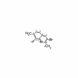 Cc1ccc2cc(Br)c(C)nc2c1F